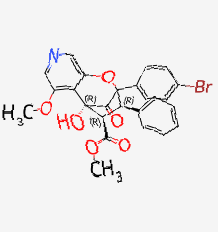 COC(=O)[C@@H]1[C@H](c2ccccc2)C2(c3ccc(Br)cc3)Oc3cncc(OC)c3[C@@]1(O)C2=O